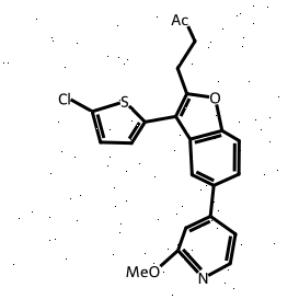 COc1cc(-c2ccc3oc(CCC(C)=O)c(-c4ccc(Cl)s4)c3c2)ccn1